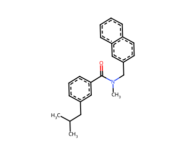 CC(C)Cc1cccc(C(=O)N(C)Cc2ccc3ccccc3c2)c1